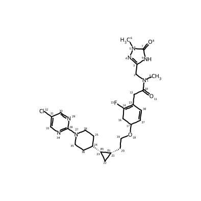 CN(Cc1nn(C)c(=O)[nH]1)C(=O)CC1=C(F)CC(OCC[C@@H]2C[C@@H]2C2CCN(c3ncc(Cl)cn3)CC2)C=C1